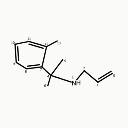 C=CCNC(C)(C)c1ccccc1C